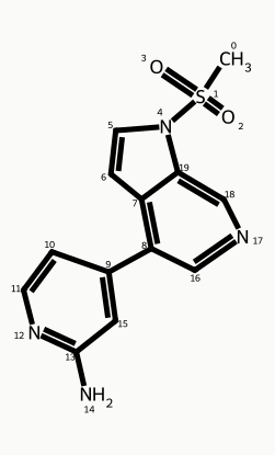 CS(=O)(=O)n1ccc2c(-c3ccnc(N)c3)cncc21